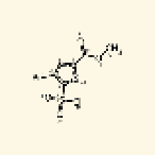 COC(=O)c1cc(Br)c(S(=O)(=O)Cl)s1